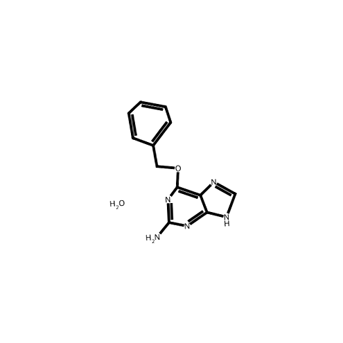 Nc1nc(OCc2ccccc2)c2nc[nH]c2n1.O